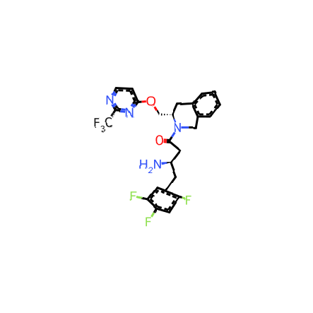 N[C@@H](CC(=O)N1Cc2ccccc2C[C@H]1COc1ccnc(C(F)(F)F)n1)Cc1cc(F)c(F)cc1F